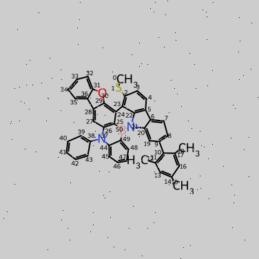 CSc1ccc2c3ccc(-c4c(C)cc(C)cc4C)cc3n3c2c1-c1c2c(cc4c1oc1ccccc14)N(c1ccccc1)c1ccccc1B23